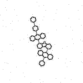 c1ccc(-c2ccc(-c3c4ccccc4c(-c4cccc5c4oc4cccc(-c6c7ccccc7c(-c7ccccc7)c7ccccc67)c45)c4ccccc34)cc2)cc1